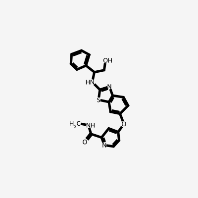 CNC(=O)c1cc(Oc2ccc3nc(NC(CO)c4ccccc4)sc3c2)ccn1